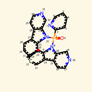 O=P(c1ccccn1)(n1c2ccccc2c2ccncc21)n1c2ccccc2c2ccncc21